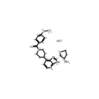 Cl.N[C@H]1CCO[C@H]1c1nc2c(C3CCN(C(=O)c4ccc(OC(F)(F)F)cc4)CC3)ccnc2[nH]1